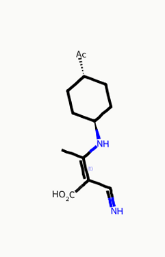 C/C(N[C@H]1CC[C@H](C(C)=O)CC1)=C(/C=N)C(=O)O